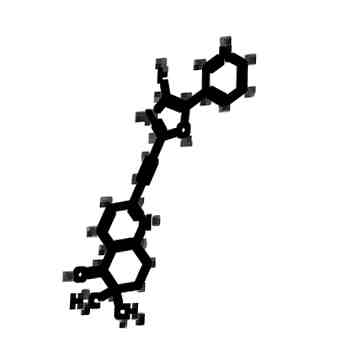 CC1(C)CCc2nc(C#Cc3nc(F)c(-c4cccnc4)o3)ccc2C1=O